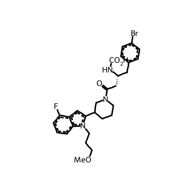 COCCCn1c(C2CCCN(C(=O)C[C@@H](Cc3ccc(Br)cc3)NC(=O)O)C2)cc2c(F)cccc21